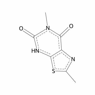 Cc1nc2c(=O)n(C)c(=O)[nH]c2s1